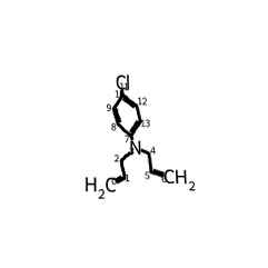 C=CCN(CC=C)c1ccc(Cl)cc1